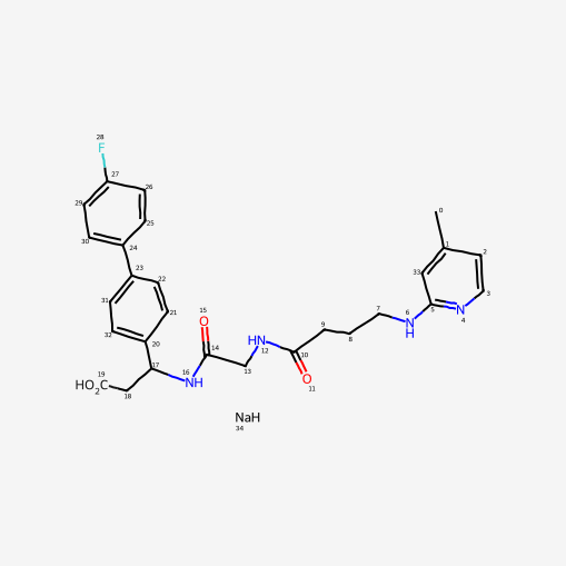 Cc1ccnc(NCCCC(=O)NCC(=O)NC(CC(=O)O)c2ccc(-c3ccc(F)cc3)cc2)c1.[NaH]